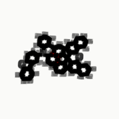 c1ccc(N(c2ccc3oc4ccccc4c3c2)c2ccccc2-c2ccc3c(c2)-c2ccccc2C32c3ccc4ccccc4c3Oc3c2ccc2ccccc32)cc1